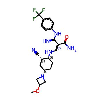 COC1CN([C@H]2CC[C@H](N/C=C(\C(=N)Nc3ccc(C(F)(F)F)cc3)C(N)=O)[C@@H](C#N)C2)C1